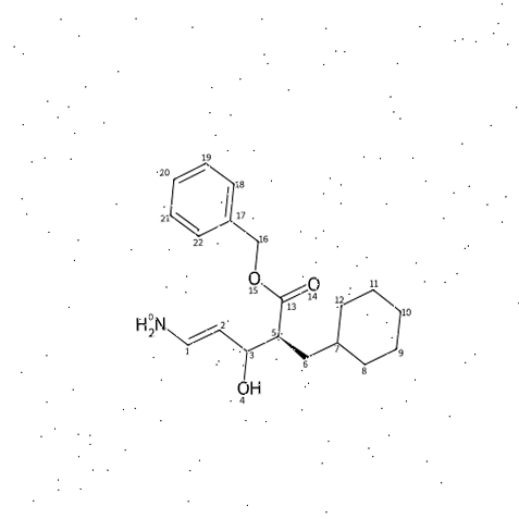 NC=CC(O)[C@H](CC1CCCCC1)C(=O)OCc1ccccc1